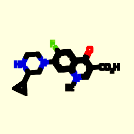 CCn1cc(C(=O)O)c(=O)c2cc(F)c(N3CCNC(C4CC4)C3)cc21